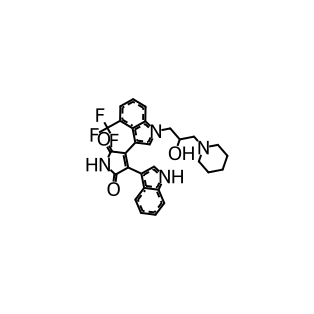 O=C1NC(=O)C(c2cn(CC(O)CN3CCCCC3)c3cccc(C(F)(F)F)c23)=C1c1c[nH]c2ccccc12